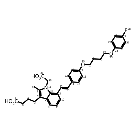 Cc1c(CCCC(=O)O)c2cccc(C=Cc3ccc(OCCCCOc4ccc(F)cc4)cc3)c2n1CC(=O)O